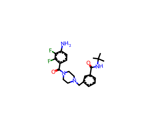 CC(C)(C)NC(=O)c1cccc(CN2CCN(C(=O)c3ccc(N)c(F)c3F)CC2)c1